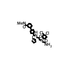 CNC(=O)c1cccc(-c2ccc(C(CN3CCCC3)NCC(=O)CN(CC(N)=O)c3ccc(Cl)c(Cl)c3)cc2)c1